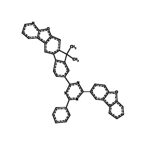 CC1(C)c2cc(-c3nc(-c4ccccc4)nc(-c4ccc5oc6ccccc6c5c4)n3)ccc2-c2cc3c(cc21)oc1ncccc13